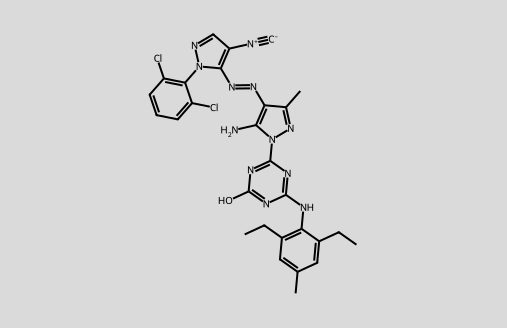 [C-]#[N+]c1cnn(-c2c(Cl)cccc2Cl)c1/N=N/c1c(C)nn(-c2nc(O)nc(Nc3c(CC)cc(C)cc3CC)n2)c1N